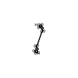 O=C(OCCCCCCCCCCCCOC(=O)c1ccc2c(c1)C(=O)N(O)C2=O)c1ccc2c(c1)C(=O)N(O)C2=O